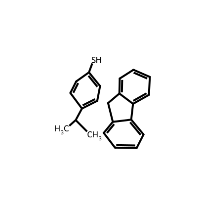 CC(C)c1ccc(S)cc1.c1ccc2c(c1)Cc1ccccc1-2